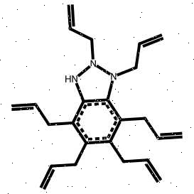 C=CCc1c(CC=C)c(CC=C)c2c(c1CC=C)NN(CC=C)N2CC=C